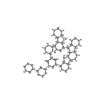 c1ccc(-c2cccc(-c3cc(-c4cccc5c4sc4c5ccc5c6ccccc6n(-c6cccc7c6oc6ccccc67)c54)nc(-c4ccccc4)n3)c2)cc1